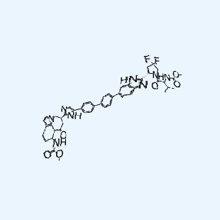 COC(=O)N[C@H]1CCc2ccn3c2C1C(=O)C[C@H](c1ncc(-c2ccc(-c4ccc(-c5ccc6nc([C@@H]7CC(F)(F)CN7C(=O)[C@@H](NC(=O)OC)C(C)C)[nH]c6c5)cc4)cc2)[nH]1)C3